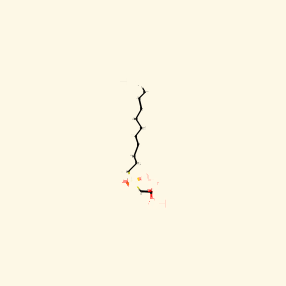 CCCCCCCCCCCS(=O)(=O)CC(=O)O